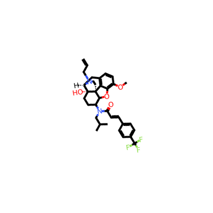 C=CCN1CC[C@]23c4c5ccc(OC)c4OC2C(N(CC(C)C)C(=O)/C=C/c2ccc(C(F)(F)F)cc2)CC[C@@]3(O)[C@H]1C5